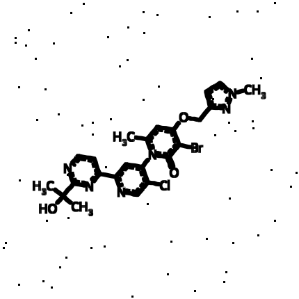 Cc1cc(OCc2ccn(C)n2)c(Br)c(=O)n1-c1cc(-c2ccnc(C(C)(C)O)n2)ncc1Cl